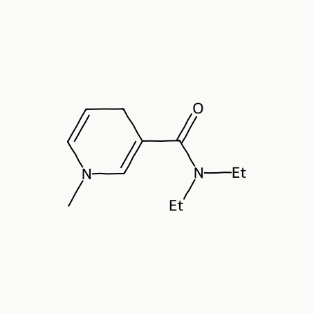 CCN(CC)C(=O)C1=CN(C)C=CC1